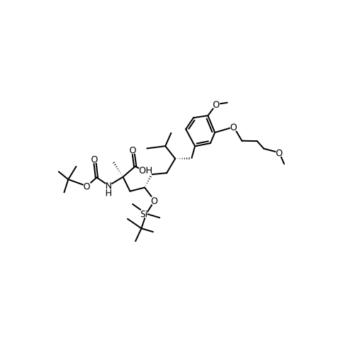 COCCCOc1cc(C[C@H](CC[C@@H](C[C@@](C)(NC(=O)OC(C)(C)C)C(=O)O)O[Si](C)(C)C(C)(C)C)C(C)C)ccc1OC